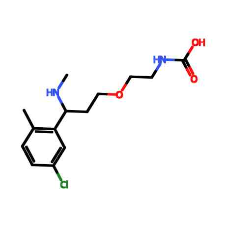 CNC(CCOCCNC(=O)O)c1cc(Cl)ccc1C